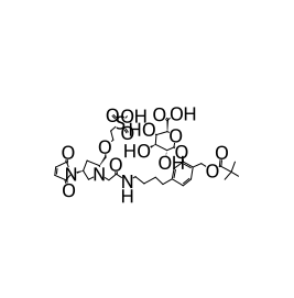 CC(C)(C)C(=O)OCc1ccc(CCCCNC(=O)CN2C[C@@H](N3C(=O)C=CC3=O)C[C@H]2COCCS(=O)(=O)O)cc1O[C@@H]1O[C@H](C(=O)O)[C@@H](O)[C@H](O)[C@H]1O